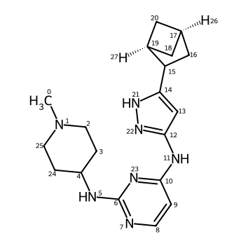 CN1CCC(Nc2nccc(Nc3cc(C4C[C@H]5C[C@@H]4C5)[nH]n3)n2)CC1